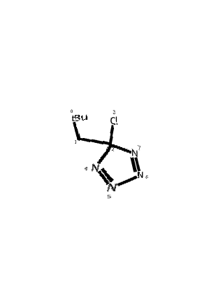 CC(C)(C)CC1(Cl)N=NN=N1